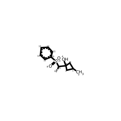 CC1CC(O)(C(F)S(=O)(=O)c2ccccc2)C1